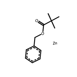 CC(C)(C)C(=O)OCc1ccccc1.[Zn]